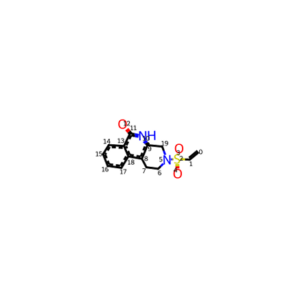 C=CS(=O)(=O)N1CCc2c([nH]c(=O)c3ccccc23)C1